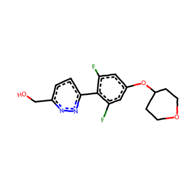 OCc1ccc(-c2c(F)cc(OC3CCOCC3)cc2F)nn1